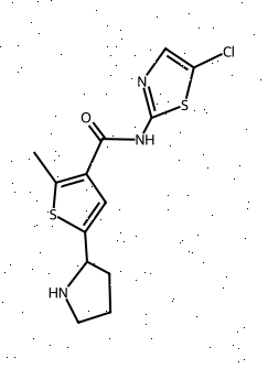 Cc1sc(C2CCCN2)cc1C(=O)Nc1ncc(Cl)s1